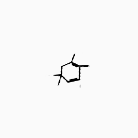 CC1=C(Cl)C=CC(C)(O)C1.N